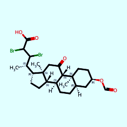 C[C@H](C(Br)C(Br)C(=O)O)[C@H]1CC[C@H]2[C@@H]3CC[C@@H]4C[C@H](OC=O)CC[C@]4(C)[C@H]3C(=O)C[C@]12C